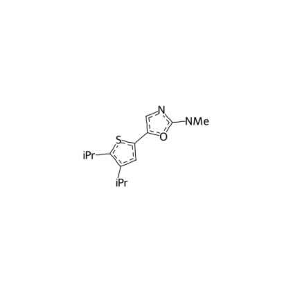 CNc1ncc(-c2cc(C(C)C)c(C(C)C)s2)o1